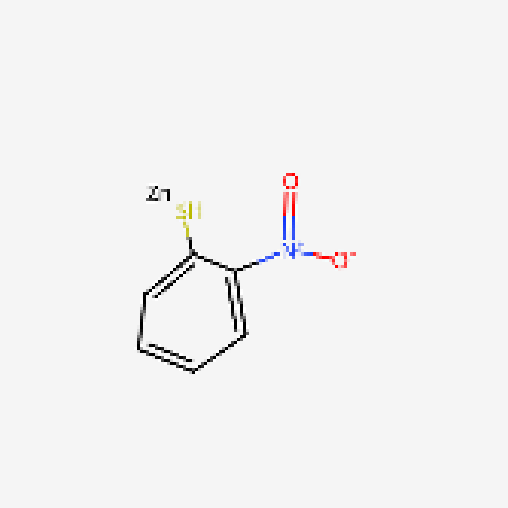 O=[N+]([O-])c1ccccc1S.[Zn]